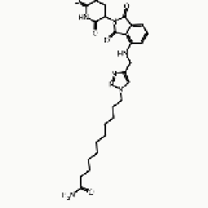 NC(=O)CCCCCCCCCCn1cc(CNc2cccc3c2C(=O)N(C2CCC(=O)NC2=O)C3=O)nn1